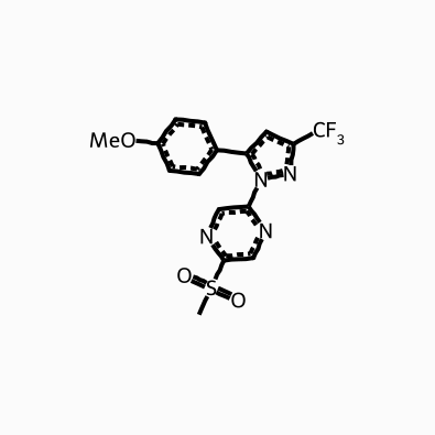 COc1ccc(-c2cc(C(F)(F)F)nn2-c2cnc(S(C)(=O)=O)cn2)cc1